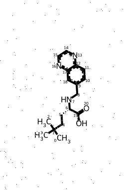 CC(C)(C)CC[C@H](NCc1ccc2nccnc2c1)C(=O)O